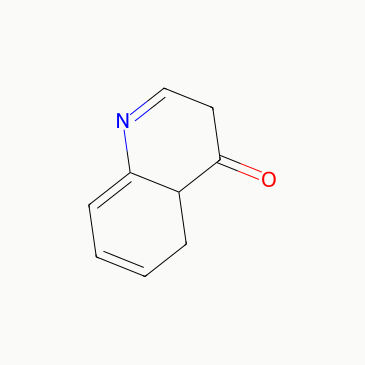 O=C1CC=NC2=CC=CCC12